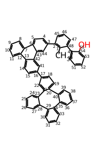 Cc1c(-c2ccc3c4ccccc4c4ccc(-c5ccc6c(c5)-c5ccccc5-c5ccccc5-c5ccccc5-6)cc4c3c2)cccc1-c1ccccc1O